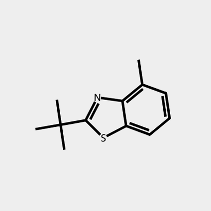 Cc1cccc2sc(C(C)(C)C)nc12